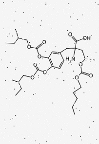 CCCCCOC(=O)O[C@@H](C)CC(N)(Cc1ccc(OC(=O)OCC(C)CC)c(OC(=O)OCC(C)CC)c1)C(=O)O